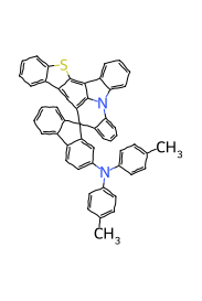 Cc1ccc(N(c2ccc(C)cc2)c2ccc3c(c2)C2(c4ccccc4-3)c3ccccc3-n3c4ccccc4c4c5sc6ccccc6c5cc2c43)cc1